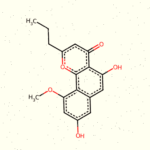 CCCc1cc(=O)c2c(O)cc3cc(O)cc(OC)c3c2o1